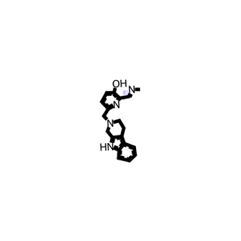 C/N=C/c1nc(CN2CCc3c([nH]c4ccccc34)C2)ccc1O